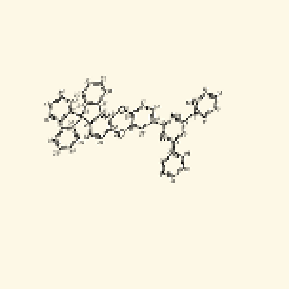 c1ccc(-c2cc(-c3ccccn3)nc(-c3ccc4c(c3)Oc3ccc5c(c3O4)-c3ccccc3C5(c3ccccc3)c3ccccc3)n2)cc1